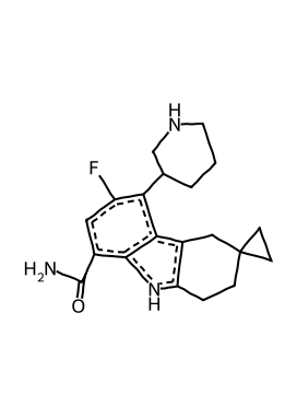 NC(=O)c1cc(F)c(C2CCCNC2)c2c3c([nH]c12)CCC1(CC1)C3